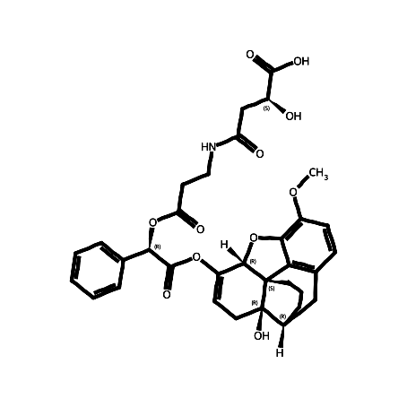 COc1ccc2c3c1O[C@H]1C(OC(=O)[C@H](OC(=O)CCNC(=O)C[C@H](O)C(=O)O)c4ccccc4)=CC[C@@]4(O)[C@H](CCC[C@]314)C2